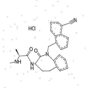 CN[C@@H](C)C(=O)N[C@H]1CCc2ccccc2N(Cc2cccc3c(C#N)cccc23)C1=O.Cl